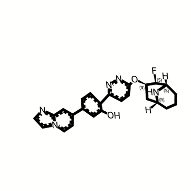 Oc1cc(-c2ccn3ccnc3c2)ccc1-c1ccc(O[C@@H]2C[C@H]3CCC[C@H](N3)[C@@H]2F)nn1